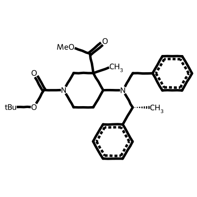 COC(=O)C1(C)CN(C(=O)OC(C)(C)C)CCC1N(Cc1ccccc1)[C@H](C)c1ccccc1